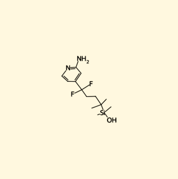 CC(C)(CCC(F)(F)c1ccnc(N)c1)[Si](C)(C)O